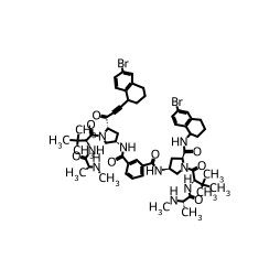 CN[C@@H](C)C(=O)N[C@H](C(=O)N1C[C@@H](NC(=O)c2cccc(C(=O)N[C@H]3C[C@@H](C(=O)NC4CCCc5cc(Br)ccc54)N(C(=O)[C@@H](NC(=O)[C@H](C)NC)C(C)(C)C)C3)c2)C[C@H]1C(=O)C#CC1CCCc2cc(Br)ccc21)C(C)(C)C